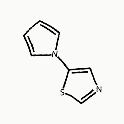 c1ccn(-c2cncs2)c1